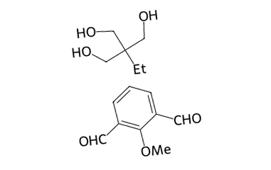 CCC(CO)(CO)CO.COc1c(C=O)cccc1C=O